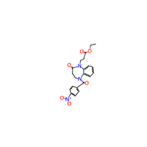 CCOC(=O)CCN1C(=O)CCN(C(=O)c2ccc([N+](=O)[O-])cc2)c2ccccc21